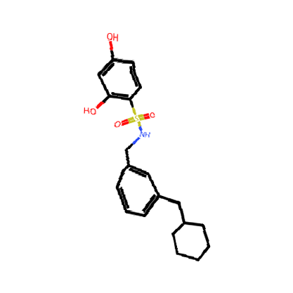 O=S(=O)(NCc1cccc(CC2CCCCC2)c1)c1ccc(O)cc1O